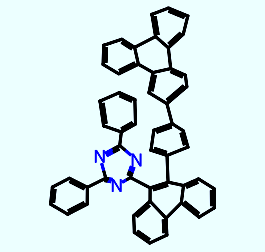 c1ccc(-c2nc(-c3ccccc3)nc(-c3c(-c4ccc(-c5ccc6c7ccccc7c7ccccc7c6c5)cc4)c4ccccc4c4ccccc34)n2)cc1